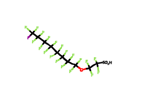 O=S(=O)(O)C(F)(F)C(F)(F)OC(F)(F)C(F)(F)C(F)(F)C(F)(F)C(F)(F)C(F)(F)C(F)(F)C(F)(F)I